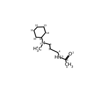 CC(=O)NCCCN(C)C1CCCCC1